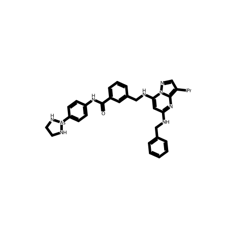 CC(C)c1cnn2c(NCc3cccc(C(=O)Nc4ccc([As]5NCCN5)cc4)c3)cc(NCc3ccccc3)nc12